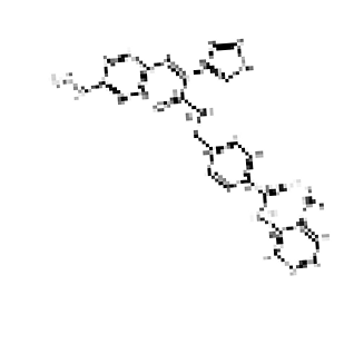 CSc1ccc(C=C(C(=O)NCc2ccc(C(=O)Nc3ccccc3N)cc2)c2ccsc2)cc1